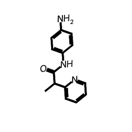 CC(C(=O)Nc1ccc(N)cc1)c1ccccn1